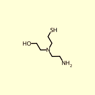 NCCN(CCO)CCS